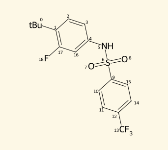 CC(C)(C)c1ccc(NS(=O)(=O)c2ccc(C(F)(F)F)cc2)cc1F